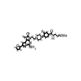 CNCCNC(=O)c1ccc(N2CCN(CCn3c(=O)n(C)c4c3nc(N)n3nc(-c5ccco5)cc43)CC2)c(F)c1